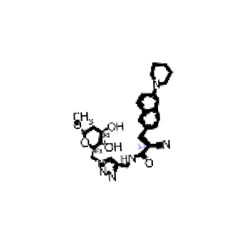 CO[C@@H]1C[C@@H](O)[C@H](O)[C@@H](Cn2cc(CNC(=O)/C(C#N)=C/c3ccc4cc(N5CCCCC5)ccc4c3)nn2)O1